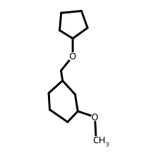 COC1CCCC(COC2CCCC2)C1